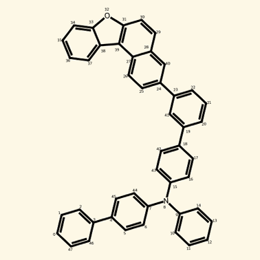 c1ccc(-c2ccc(N(c3ccccc3)c3ccc(-c4cccc(-c5ccc6c(ccc7oc8ccccc8c76)c5)c4)cc3)cc2)cc1